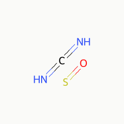 N=C=N.O=S